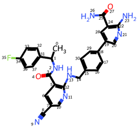 CC(NC(=O)c1cc(C#N)cnc1NCc1ccc(-c2cnc(N)c(C(N)=O)c2)cc1)c1ccc(F)cc1